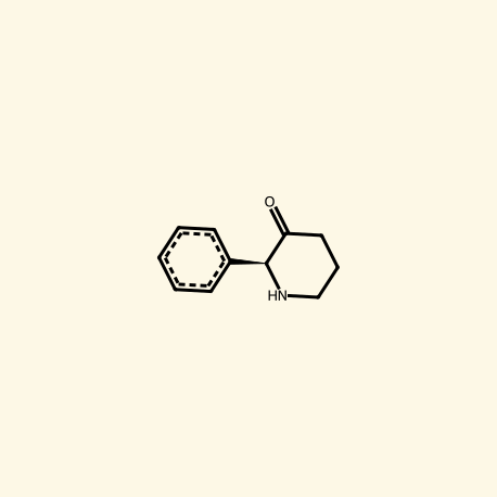 O=C1CCCN[C@H]1c1ccccc1